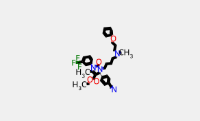 CCOC(=O)C1=C(C)N(c2cccc(C(F)(F)F)c2)C(=O)N(CCCCCN(C)CCCOc2ccccc2)[C@@H]1c1ccc(C#N)cc1